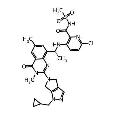 Cc1cc([C@@H](C)Nc2ccc(Cl)nc2C(=O)NS(C)(=O)=O)c2nc(N3Cc4cnn(CC5CC5)c4C3)n(C)c(=O)c2c1